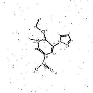 CCOC1C(n2cccn2)=CC([N+](=O)[O-])=CN1C